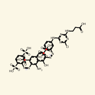 Nc1c(/N=N\c2cc(S(=O)(=O)O)ccc2S(=O)(=O)O)c(S(=O)(=O)O)cc2cc(S(=O)(=O)O)c(/N=N\c3cc(Nc4nc(Cl)nc(NCCC(=O)O)n4)ccc3S(=O)(=O)O)c(O)c12